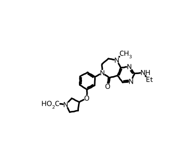 CCNc1ncc2c(n1)N(C)CCN(c1cccc(OC3CCN(C(=O)O)C3)c1)C2=O